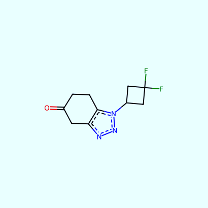 O=C1CCc2c(nnn2C2CC(F)(F)C2)C1